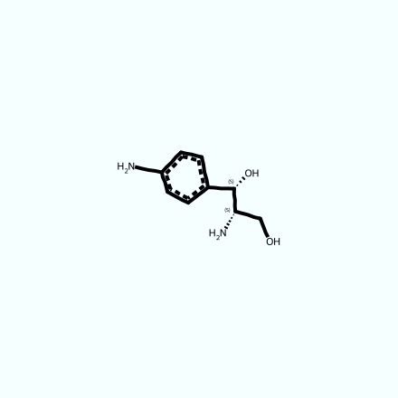 Nc1ccc([C@H](O)[C@@H](N)CO)cc1